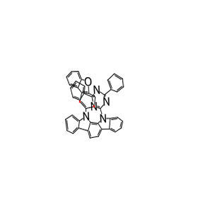 C1=C(n2c3ccccc3c3ccc4c5ccccc5n(-c5nc(-c6ccccc6)nc(-c6ccccc6)n5)c4c32)CCc2oc3ccccc3c21